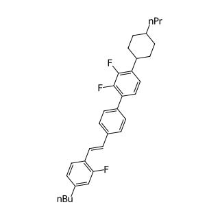 CCCCc1ccc(/C=C/c2ccc(-c3ccc(C4CCC(CCC)CC4)c(F)c3F)cc2)c(F)c1